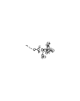 C=C(C)C(=O)OCCCc1cc(-c2c(F)cc(-c3ccc(CCCCCCC)cc3)cc2F)ccc1OCC(COC(=O)CC(C)=O)(COC(=O)CC(C)=O)COC(=O)C(=C)C